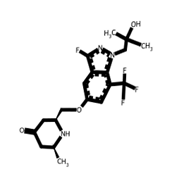 C[C@H]1CC(=O)C[C@@H](COc2cc(C(F)(F)F)c3c(c2)c(F)nn3CC(C)(C)O)N1